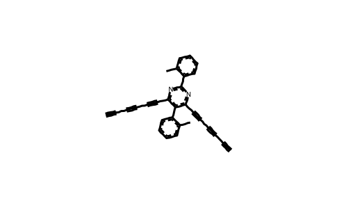 C#CC#CC#Cc1nc(-c2ccccc2C)nc(C#CC#CC#C)c1-c1ccccc1C